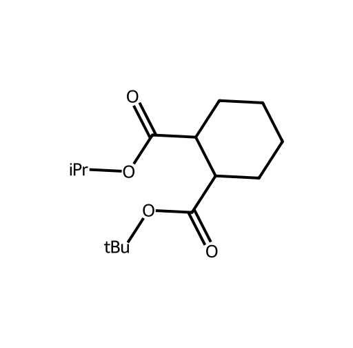 CC(C)OC(=O)C1CCCCC1C(=O)OC(C)(C)C